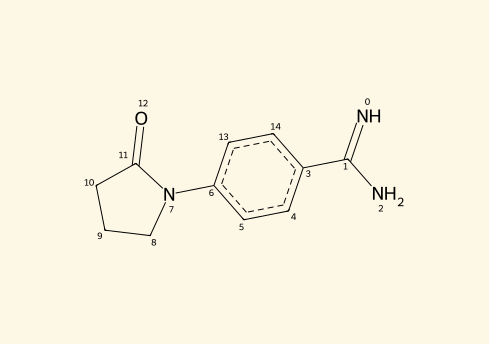 N=C(N)c1ccc(N2CCCC2=O)cc1